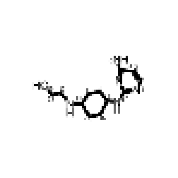 Nc1[c]cnc(NC2CCC(NCCO)CC2)n1